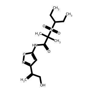 C=C(CO)c1cc(NC(=O)C(C)(C)S(=O)(=O)C(CC)CC)on1